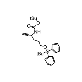 C#C[C@H](CCCO[Si](c1ccccc1)(c1ccccc1)C(C)(C)C)NC(=O)OC(C)(C)C